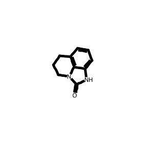 O=c1[nH]c2cccc3c2n1CCC3